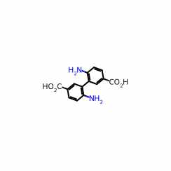 Nc1ccc(C(=O)O)cc1-c1cc(C(=O)O)ccc1N